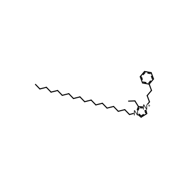 CCCCCCCCCCCCCCCCCCn1cc[n+](CCCc2ccccc2)c1CC